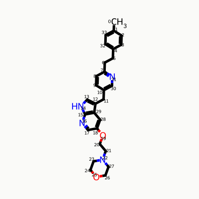 Cc1ccc(CCc2ccc(Cc3c[nH]c4ncc(OCCN5CCOCC5)cc34)cn2)cc1